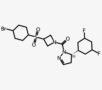 O=C(N1CC(S(=O)(=O)C2CCC(Br)CC2)C1)N1N=CC[C@H]1C1CC(F)CC(F)C1